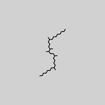 [CH2]C(CCC(C)CCCCC(C)CCCCCCC)C(C)CCCC(C)CCCCCCCC